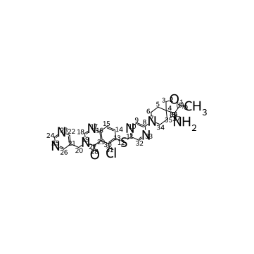 C[C@@H]1OCC2(CCN(c3cnc(Sc4ccc5ncn(Cc6cncnc6)c(=O)c5c4Cl)cn3)CC2)[C@@H]1N